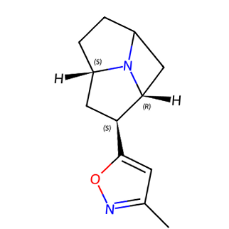 Cc1cc([C@H]2C[C@@H]3CCC4C[C@H]2N43)on1